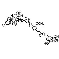 COc1cc(/C=C/C(=O)OCCC(CON(O)O)ON(O)O)ccc1OC(=O)NCC(=O)OCC(=O)[C@@]1(O)[C@H](O)C[C@H]2[C@@H]3CCC4=CC(=O)C=C[C@]4(C)[C@@]3(F)[C@@H](O)C[C@@]21C